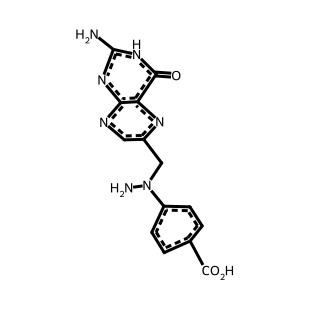 Nc1nc2ncc(CN(N)c3ccc(C(=O)O)cc3)nc2c(=O)[nH]1